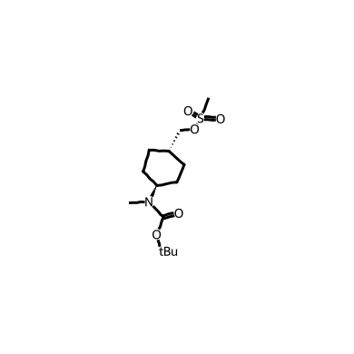 CN(C(=O)OC(C)(C)C)[C@H]1CC[C@H](COS(C)(=O)=O)CC1